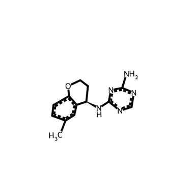 Cc1ccc2c(c1)[C@H](Nc1ncnc(N)n1)CCO2